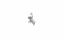 CC(CCc1ccccc1)C1CCc2c(cn(C)c2C(=O)Nc2ccc(F)c(F)c2)S(=O)(=NC2CC2)N1